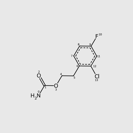 NC(=O)OCCc1ccc(F)cc1Cl